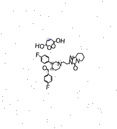 O=C(O)/C=C\C(=O)O.O=C(c1ccc(F)cc1)[C@H]1CCN(CCn2nc3n(c2=O)CCCC3)C[C@@H]1c1ccc(F)cc1